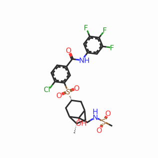 C[C@H]1CC2C[C@@H](S(=O)(=O)c3cc(C(=O)Nc4cc(F)c(F)c(F)c4)ccc3Cl)CC1[C@@]2(O)CNS(C)(=O)=O